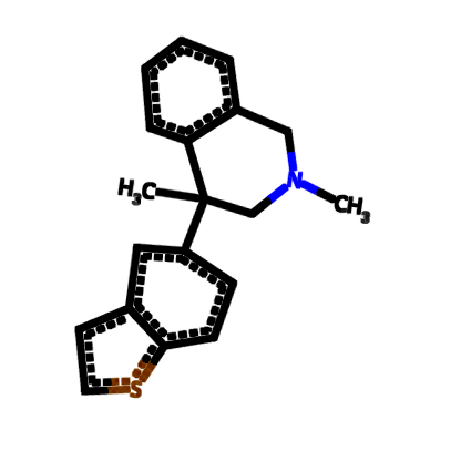 CN1Cc2ccccc2C(C)(c2ccc3sccc3c2)C1